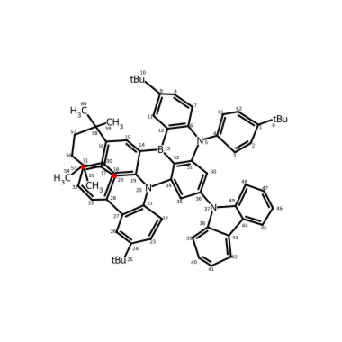 CC(C)(C)c1ccc(N2c3ccc(C(C)(C)C)cc3B3c4cc5c(cc4N(c4ccc(C(C)(C)C)cc4-c4ccccc4)c4cc(-n6c7ccccc7c7ccccc76)cc2c43)C(C)(C)CCC5(C)C)cc1